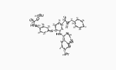 CC(C)c1ccc2c(Nc3cc(C(=O)NCc4ccccc4)ccc3Sc3ccc(NC(=O)OC(C)(C)C)cc3)ncnc2n1